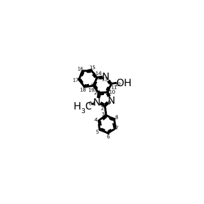 Cn1c(-c2ccccc2)nc2c(O)nc3ccccc3c21